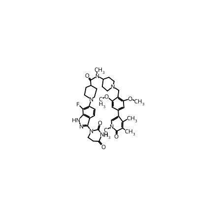 COc1cc(-c2cn(C)c(=O)c(C)c2C)cc(OC)c1CN1CCC(N(C)C(=O)C2CCN(c3ccc4c(N5CCC(=O)NC5=O)n[nH]c4c3F)CC2)CC1